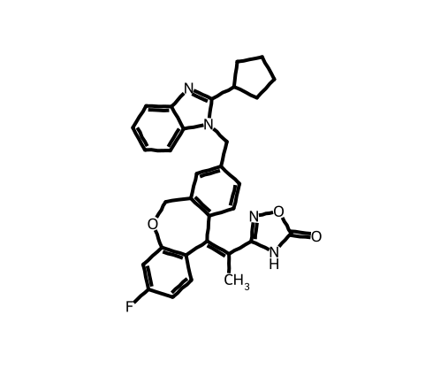 C/C(=C1/c2ccc(Cn3c(C4CCCC4)nc4ccccc43)cc2COc2cc(F)ccc21)c1noc(=O)[nH]1